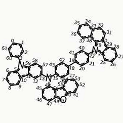 c1ccc(-n2c3ccccc3c3cc(N(c4ccc(-c5ccc(-n6c7ccccc7c7ccc8ccccc8c76)cc5)cc4)c4cccc5oc6ccccc6c45)ccc32)cc1